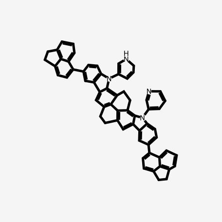 C1=CC(n2c3ccc(-c4ccc5c6c(cccc46)CC5)cc3c3cc4c5c(c32)CCc2c-5c(cc3c5cc(-c6ccc7c8c(cccc68)CC7)ccc5n(-c5cccnc5)c23)CC4)=CNC1